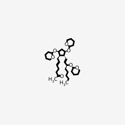 CCCCC[C@@H](C=C[C@@H]1[C@@H](CC=CCCC(C)=O)[C@@H](OC2CCCCO2)C[C@H]1OC1CCCCO1)OC1CCCCO1